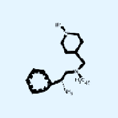 CC(C)N1CCC(CN(C)C[C@H](N)c2ccccc2)CC1.Cl